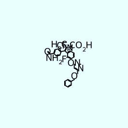 Cc1c(-c2ccc(C(N)=O)cc2C(F)(F)F)c2c(F)c(Oc3cc(COCc4ccccc4)ncn3)ccc2n1C(=O)O